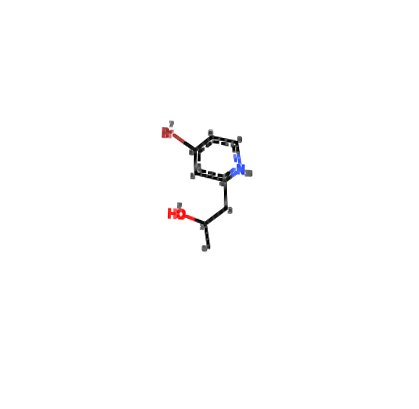 CC(O)Cc1cc(Br)ccn1